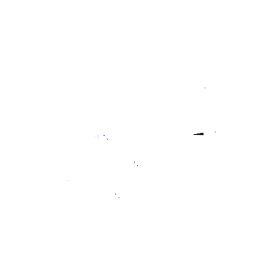 CC(=O)OC[C@H]1O[C@@H](n2cnc(C(=O)O)c2N)[C@@H](Cl)[C@@H]1OC(C)=O